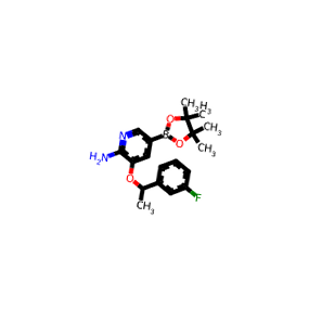 CC(Oc1cc(B2OC(C)(C)C(C)(C)O2)cnc1N)c1cccc(F)c1